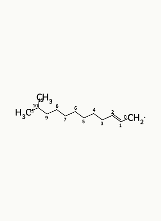 [CH2]/C=C/CCCCCCCC(C)C